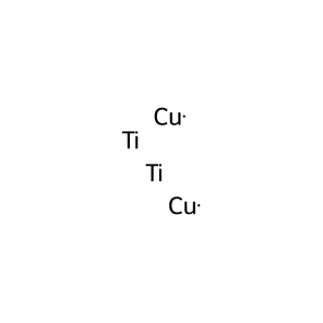 [Cu].[Cu].[Ti].[Ti]